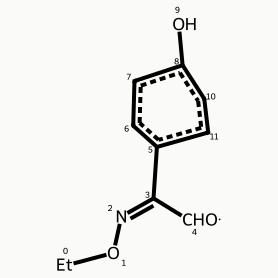 CCO/N=C(\[C]=O)c1ccc(O)cc1